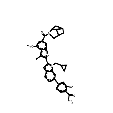 COc1cc(C(=O)N2CC3CC4CC2[C@H]43)cc2sc(-c3cc4ccc(-c5ccc(C(N)=O)c(F)c5)cc4n3CC3CC3)c(C)c12